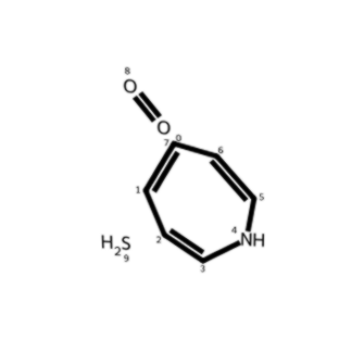 C1=CC=CNC=C1.O=O.S